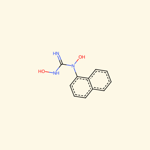 N=C(NO)N(O)c1cccc2ccccc12